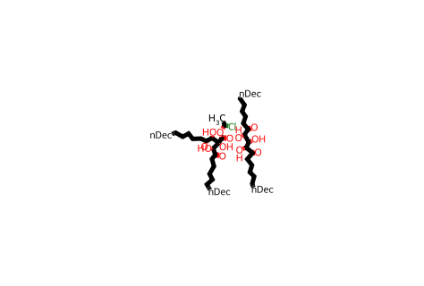 CCCCCCCCCCCCCCCC(=O)C(O)C(O)(C(=O)OC(C)Cl)C(O)C(=O)CCCCCCCCCCCCCCC.CCCCCCCCCCCCCCCC(=O)C(O)C(O)C(O)C(=O)CCCCCCCCCCCCCCC